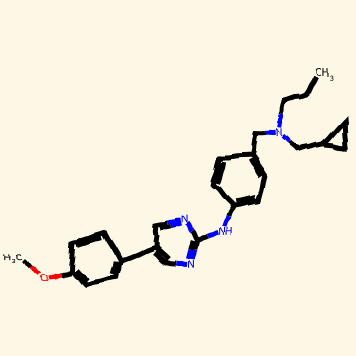 CCCN(Cc1ccc(Nc2ncc(-c3ccc(OC)cc3)cn2)cc1)CC1CC1